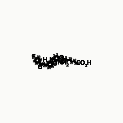 Nc1ccc(OC(=O)CCCCCCC(=O)O)c(N)c1Oc1ccc(C=CC(=O)c2ccc(F)cc2)cc1